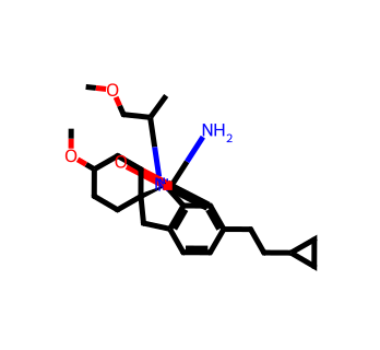 COCC(C)N1C(=O)[C@@]2(N=C1N)c1cc(CCC3CC3)ccc1CC21CCC(OC)CC1